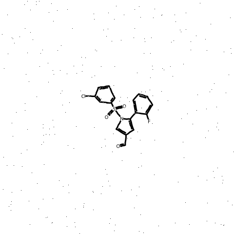 O=Cc1cc(-c2ccccc2F)n(S(=O)(=O)c2cccc(Cl)c2)c1